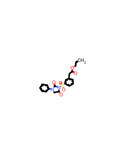 C=CCOC(=O)Cc1cccc(S(=O)(=O)N2C(=O)CN(c3ccccc3)C2=O)c1